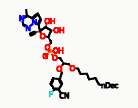 C#C[C@@]1(c2ccc3c(C)ncnn23)O[C@H](COP(=O)(O)OC[C@@H](COCCCCCCCCCCCCCCCC)OCc2ccc(F)c(C#N)c2)[C@@H](O)[C@H]1O